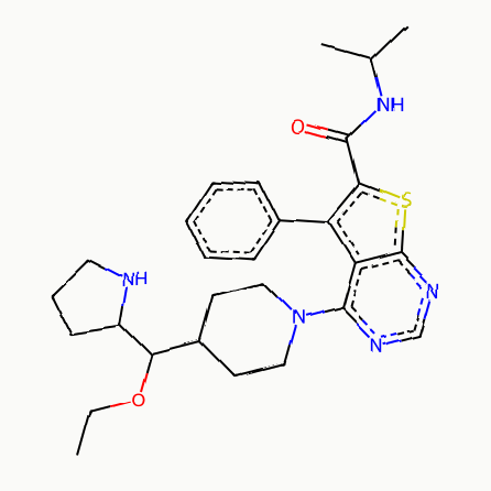 CCOC(C1CCN(c2ncnc3sc(C(=O)NC(C)C)c(-c4ccccc4)c23)CC1)C1CCCN1